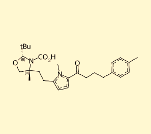 Cc1ccc(CCCC(=O)c2ccc(CC[C@]3(C)CO[C@H](C(C)(C)C)N3C(=O)O)n2C)cc1